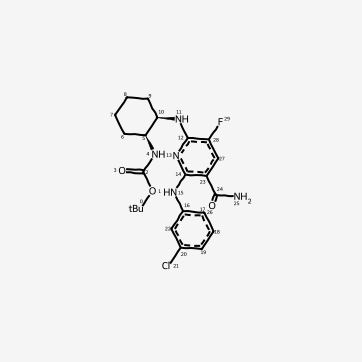 CC(C)(C)OC(=O)N[C@H]1CCCC[C@H]1Nc1nc(Nc2cccc(Cl)c2)c(C(N)=O)cc1F